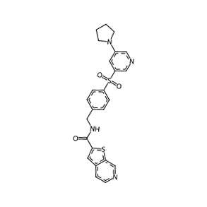 O=C(NCc1ccc(S(=O)(=O)c2cncc(N3CCCC3)c2)cc1)c1cc2ccncc2s1